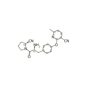 Cc1ccc(C#N)c(Oc2ccc(C[C@H](N)C(=O)N3CCC[C@H]3C#N)cc2)n1